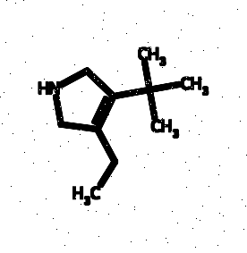 CCC1=C(C(C)(C)C)CNC1